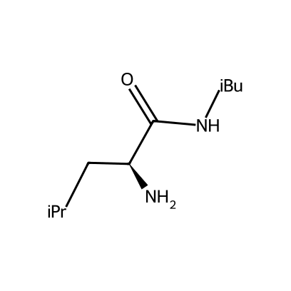 CCC(C)NC(=O)[C@@H](N)CC(C)C